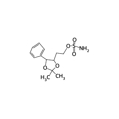 CC1(C)OC(CCOS(N)(=O)=O)C(c2ccccc2)O1